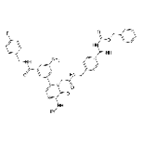 CC(C)Nc1ncc(-c2cc(N)cc(C(=O)NCc3ccc(F)cc3)c2)n(CC(=O)NCc2ccc(C(=N)NC(=O)OCc3ccccc3)cc2)c1=O